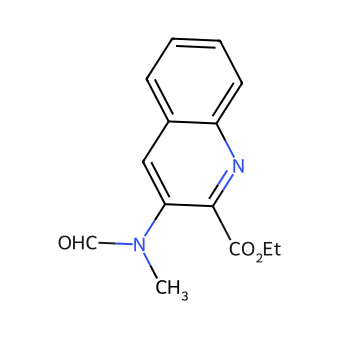 CCOC(=O)c1nc2ccccc2cc1N(C)C=O